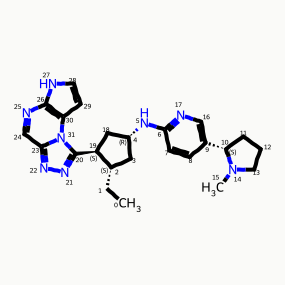 CC[C@H]1C[C@@H](Nc2ccc([C@@H]3CCCN3C)cn2)C[C@@H]1c1nnc2cnc3[nH]ccc3n12